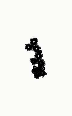 O=S(=O)([O-])c1ccccc1.O=S(=O)([O-])c1ccccc1.c1ccc([S+](c2ccccc2)c2ccc(Oc3ccc([S+](c4ccccc4)c4ccccc4)cc3)cc2)cc1